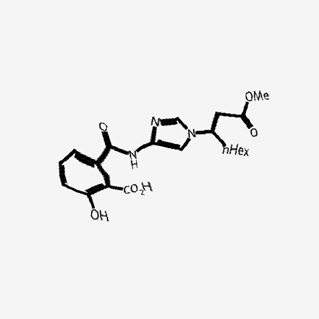 CCCCCCC(CC(=O)OC)n1cnc(NC(=O)c2cccc(O)c2C(=O)O)c1